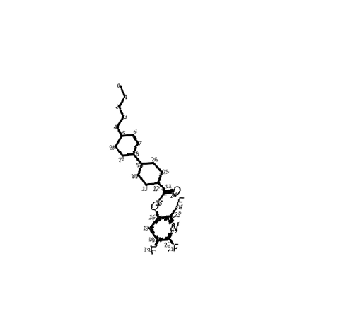 CCCCCC1CCC(C2CCC(C(=O)Oc3cc(F)c(F)nc3F)CC2)CC1